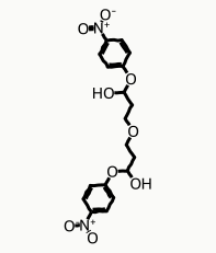 O=[N+]([O-])c1ccc(OC(O)CCOCCC(O)Oc2ccc([N+](=O)[O-])cc2)cc1